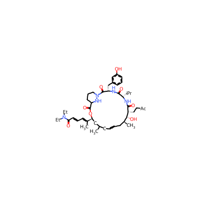 CCN(CC)C(=O)/C=C/C=C(\C)[C@@H]1CC(C)C/C=C/C[C@H](C)[C@@H](O)[C@@H](CCC(C)=O)C(=O)N[C@@H](C(C)C)C(=O)N[C@@H](Cc2cccc(O)c2)C(=O)N2CCCC(N2)C(=O)O1